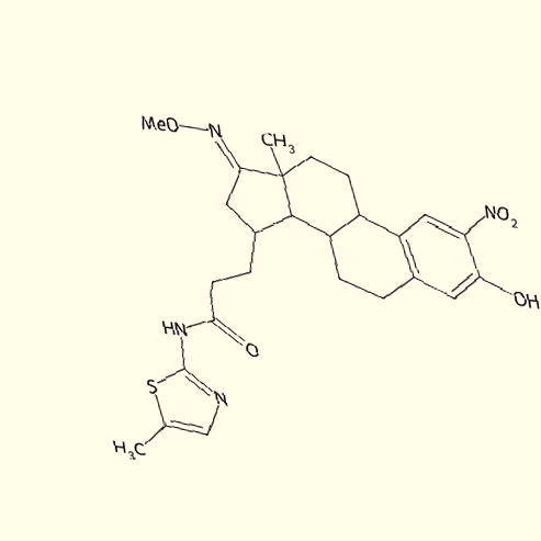 CO/N=C1\CC(CCC(=O)Nc2ncc(C)s2)C2C3CCc4cc(O)c([N+](=O)[O-])cc4C3CCC12C